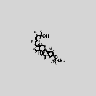 CC(/C=C1\CCCC2(C)[C@@H]([C@H](C)/C=C/[C@H](C)C(C)(C)O)CC[C@@H]12)[C@@]12CC(O[Si](C)(C)C(C)(C)C)C[C@@H]1C2